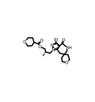 CCc1nn(C[C@@H](C)COC(=O)C2CCOCC2)c2c1C(=O)NCC1(CCOCC1)C2